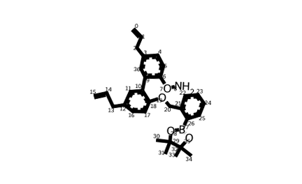 C=CCc1ccc(ON)c(-c2cc(CC=C)ccc2OCc2ccccc2B2OC(C)(C)C(C)(C)O2)c1